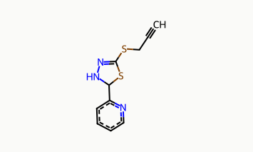 C#CCSC1=NNC(c2ccccn2)S1